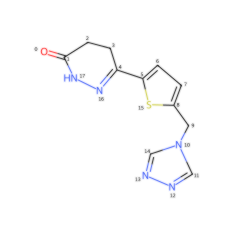 O=C1CCC(c2ccc(Cn3cnnc3)s2)=NN1